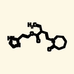 C=CC(C=CN1CCCCCC1=O)C(=O)OC=Cc1ncc[nH]1